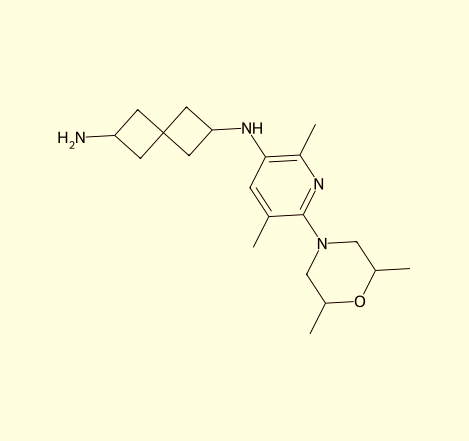 Cc1cc(NC2CC3(CC(N)C3)C2)c(C)nc1N1CC(C)OC(C)C1